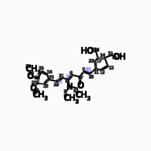 CCN(CC)C(=C\C(=O)/C=C/c1ccc(CO)c(CO)c1)/C=C/c1ccc(OC)c(OC)c1